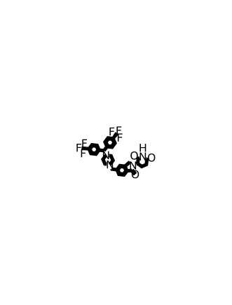 O=C1CCC(N2Cc3cc(CN4CCN(C(c5ccc(C(F)(F)F)cc5)c5ccc(C(F)(F)F)cc5)CC4)ccc3C2=O)C(=O)N1